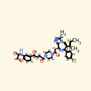 Cc1sc2c(c1C)C(c1ccc(Cl)cc1)=N[C@@H](CC(=O)N1CCN(C(=O)/C=C/C(=O)c3ccc4c(c3)NC(=O)CO4)CC1)c1nnc(C)n1-2